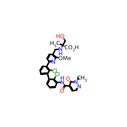 COc1nc(-c2cccc(-c3cccc(NC(=O)c4ccnn(C)c4=O)c3Cl)c2Cl)ccc1CN[C@](C)(CO)C(=O)O